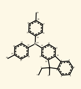 CCC1(C)c2ccccc2-c2ccc(N(c3ccc(C)cc3)c3ccc(C)cc3)cc21